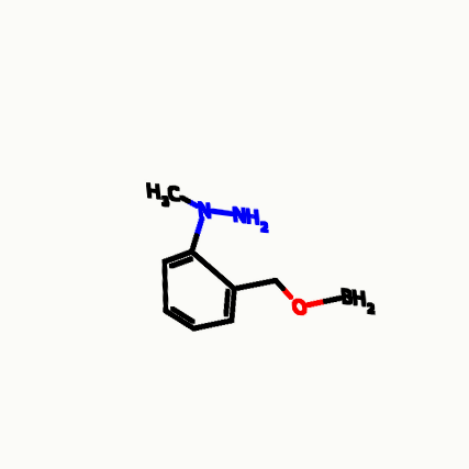 BOCc1ccccc1N(C)N